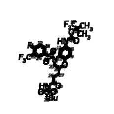 CC(C)(OC(=O)Nc1ccc2c(c1)N(S(=O)(=O)c1ccc(F)c(C(F)(F)F)c1)C[C@H](CCC(=O)NS(=O)(=O)C(C)(C)C)O2)C(F)(F)F